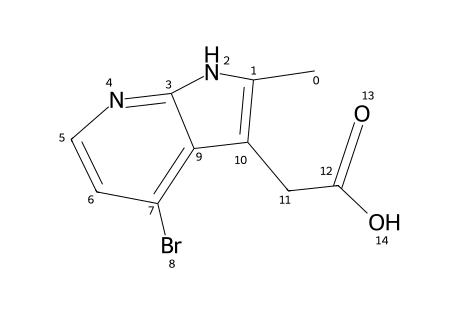 Cc1[nH]c2nccc(Br)c2c1CC(=O)O